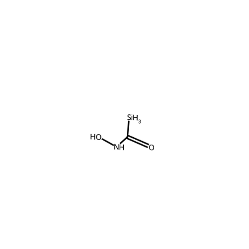 O=C([SiH3])NO